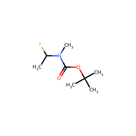 CC(F)N(C)C(=O)OC(C)(C)C